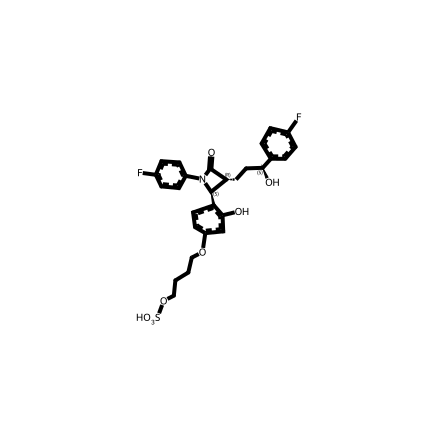 O=C1[C@H](CC[C@H](O)c2ccc(F)cc2)[C@@H](c2ccc(OCCCCOS(=O)(=O)O)cc2O)N1c1ccc(F)cc1